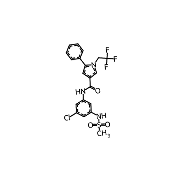 CS(=O)(=O)Nc1cc(Cl)cc(NC(=O)c2cc(-c3ccccc3)n(CC(F)(F)F)c2)c1